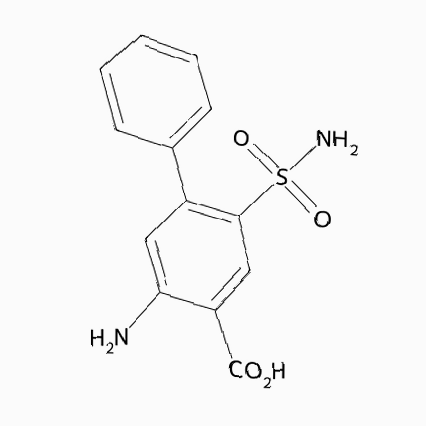 Nc1cc(-c2ccccc2)c(S(N)(=O)=O)cc1C(=O)O